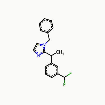 CC(c1cccc(C(F)F)c1)c1nccn1Cc1ccccc1